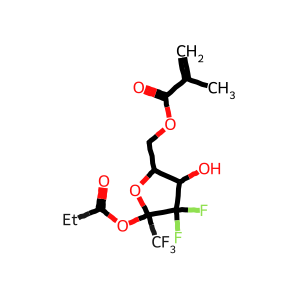 C=C(C)C(=O)OCC1OC(OC(=O)CC)(C(F)(F)F)C(F)(F)C1O